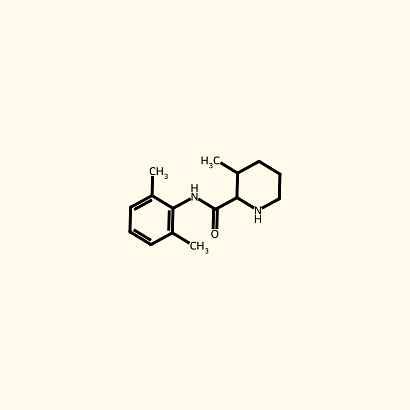 Cc1cccc(C)c1NC(=O)C1NCCCC1C